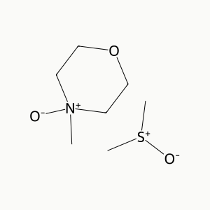 C[N+]1([O-])CCOCC1.C[S+](C)[O-]